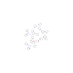 c1ccc(-c2nc(-n3c4ccccc4c4c5c6ccc(-c7ccc(-c8cc(-n9c%10ccccc%10c%10cc(-c%11ccc%12c(c%11)c%11ccccc%11n%12-c%11ccccc%11)ccc%109)cc9ccccc89)cc7)cc6oc5c5c(-c6ccc7c8c9c%10ccccc%10sc9c9ccccc9c8n(-c8nc(-c9ccccc9)c9ccccc9n8)c7c6)cccc5c43)nc3ccccc23)cc1